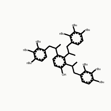 CCCCc1ccc(CC(C)c2ccc(O)c(C(C)Cc3ccc(CCCC)c(CCCC)c3CCCC)c2C(C)Cc2ccc(CCCC)c(CCCC)c2CCCC)c(CCCC)c1CCCC